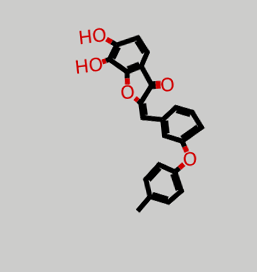 Cc1ccc(Oc2cccc(/C=C3/Oc4c(ccc(O)c4O)C3=O)c2)cc1